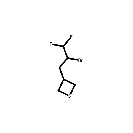 FC(F)[C](Br)CC1CSC1